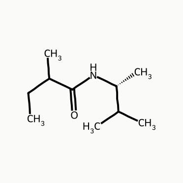 CCC(C)C(=O)N[C@H](C)C(C)C